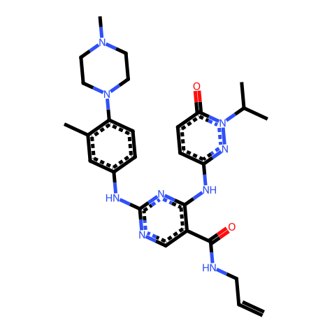 C=CCNC(=O)c1cnc(Nc2ccc(N3CCN(C)CC3)c(C)c2)nc1Nc1ccc(=O)n(C(C)C)n1